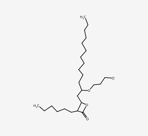 CCCCCCCCCCCC(CC1OC(=O)C1CCCCCC)OCCCCl